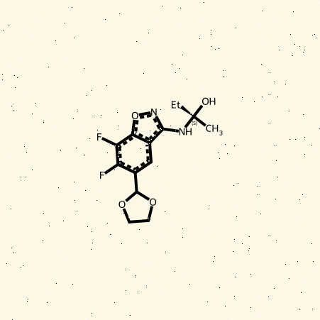 CC[C@](C)(O)Nc1noc2c(F)c(F)c(C3OCCO3)cc12